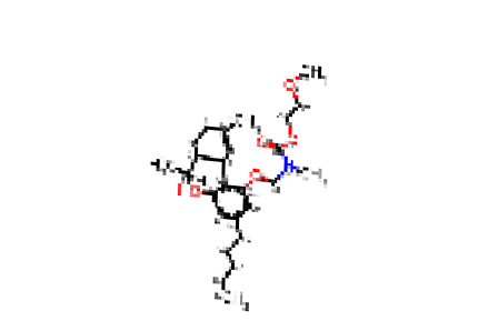 C=C(C)C1CCC(C)=CC1c1c(O)cc(CCCCC)cc1OCN(C)C(=O)OCCOC